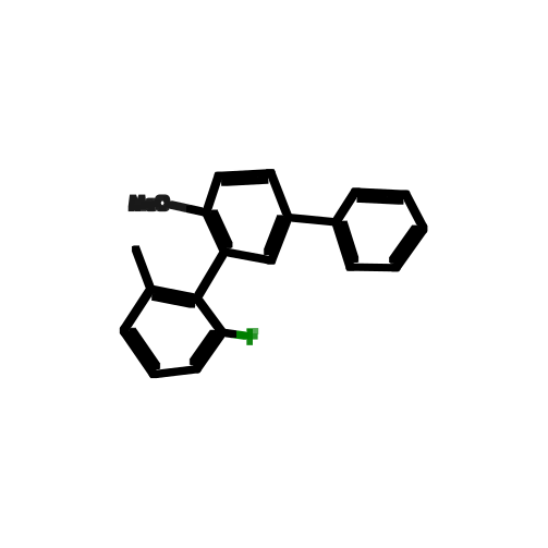 COc1ccc(-c2ccccc2)cc1-c1c(C)cccc1F